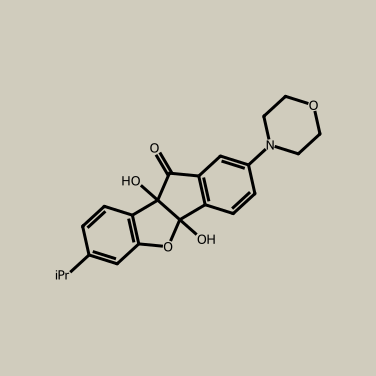 CC(C)c1ccc2c(c1)OC1(O)c3ccc(N4CCOCC4)cc3C(=O)C21O